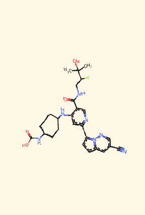 CC(C)(O)C(F)CNC(=O)c1cnc(-c2ccc3cc(C#N)cnn23)cc1NC1CCC(NC(=O)O)CC1